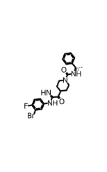 C[C@H](NC(=O)N1CCC(C(=O)C(=N)Nc2ccc(F)c(Br)c2)CC1)c1ccccc1